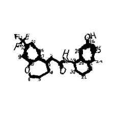 O=C(CC1CCCOc2cc(C(F)(F)F)ccc21)NC1CCCc2ccc(O)cc21